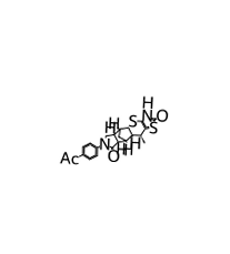 CC(=O)c1ccc(N2C[C@@H]3[C@H](C2=O)[C@H]2C[C@@H]3C3Sc4[nH]c(=O)sc4[C@@H](C)[C@@H]32)cc1